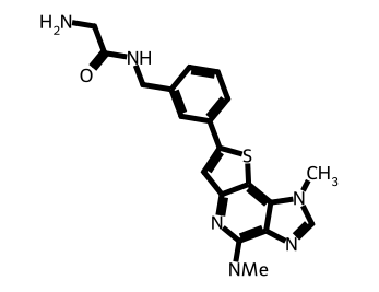 CNc1nc2cc(-c3cccc(CNC(=O)CN)c3)sc2c2c1ncn2C